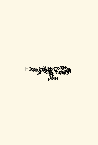 COc1cc(CN2CCN(C3CC4(CCN(c5ccc(C(=O)NS(=O)(=O)c6cnc(NC[C@H]7CC[C@](C)(O)CC7)c([NH+](C)[O-])c6)c(Oc6cc7c(F)c[nH]c7nc6OC)c5)C5CC54)C3)[C@H](c3ccccc3C(C)C)C2)ccn1